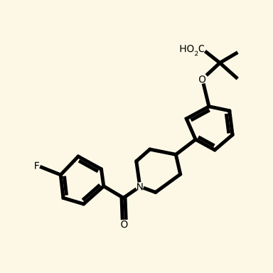 CC(C)(Oc1cccc(C2CCN(C(=O)c3ccc(F)cc3)CC2)c1)C(=O)O